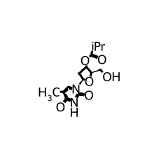 Cc1cn([C@H]2CC(OC(=O)C(C)C)[C@@H](CO)O2)c(=O)[nH]c1=O